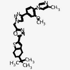 COc1cc(-c2cn(Cc3nnc(-c4cc5c(s4)CCC(C(C)(C)C)C5)o3)nn2)ccc1-n1cnc(C)c1